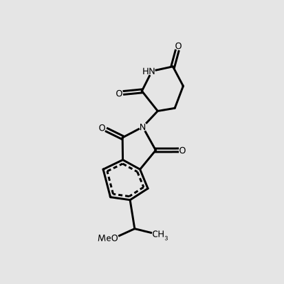 COC(C)c1ccc2c(c1)C(=O)N(C1CCC(=O)NC1=O)C2=O